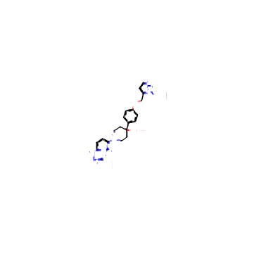 Cn1nccc1COc1ccc(C2(O)CCN(c3ccc4nnc(C(F)(F)F)n4n3)CC2)cc1